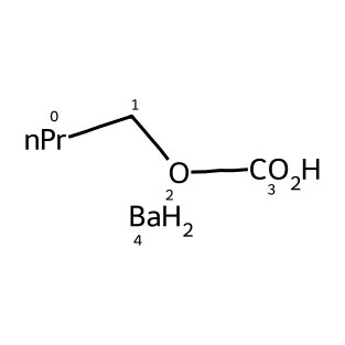 CCCCOC(=O)O.[BaH2]